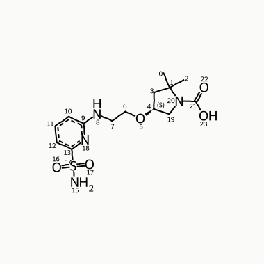 CC1(C)C[C@H](OCCNc2cccc(S(N)(=O)=O)n2)CN1C(=O)O